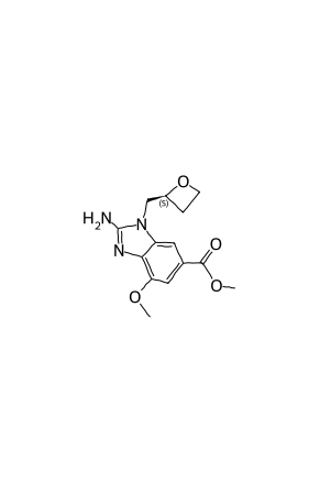 COC(=O)c1cc(OC)c2nc(N)n(C[C@@H]3CCO3)c2c1